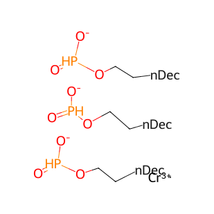 CCCCCCCCCCCCO[PH](=O)[O-].CCCCCCCCCCCCO[PH](=O)[O-].CCCCCCCCCCCCO[PH](=O)[O-].[Cr+3]